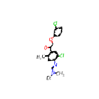 CCN(C)C=Nc1cc(C)c(C(=O)COc2cccc(Cl)c2)cc1Cl